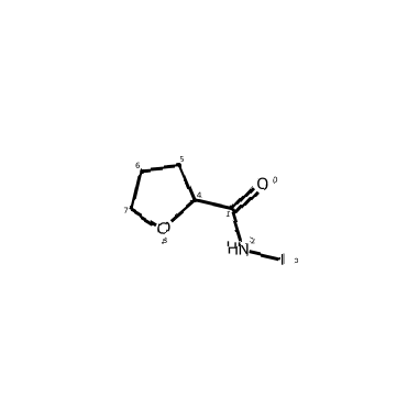 O=C(NI)C1CCCO1